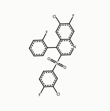 O=S(=O)(c1ccc(F)c(Cl)c1)c1cnc2cc(F)c(Cl)cc2c1-c1ccccc1F